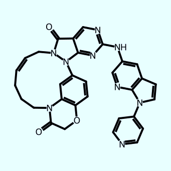 O=C1COc2ccc3cc2N1CCC/C=C\Cn1c(=O)c2cnc(Nc4cnc5c(ccn5-c5ccncc5)c4)nc2n1-3